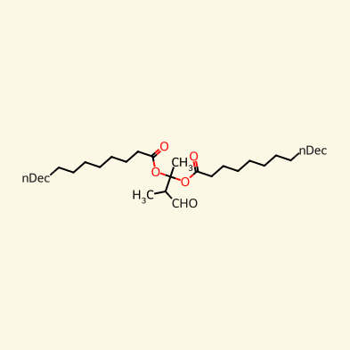 CCCCCCCCCCCCCCCCCC(=O)OC(C)(OC(=O)CCCCCCCCCCCCCCCCC)C(C)C=O